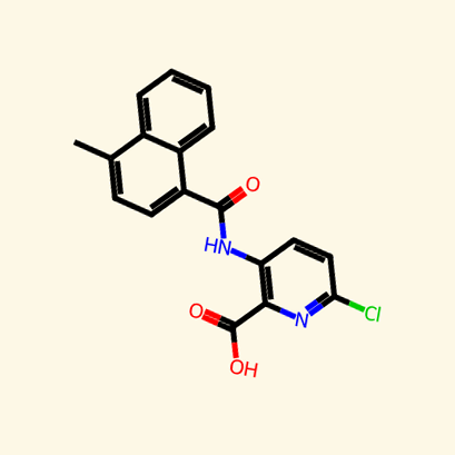 Cc1ccc(C(=O)Nc2ccc(Cl)nc2C(=O)O)c2ccccc12